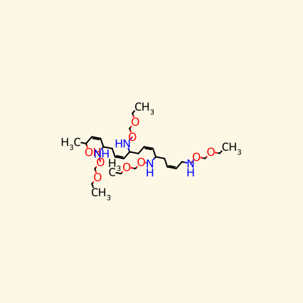 CCOCONC/C=C\CC(/C=C\CC(/C=C\CC(/C=C\C(C)O)NOCOCC)NOCOCC)NOCOCC